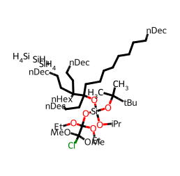 CCCCCCCCCCCCCCCCCCC(CCCCCCCCCCCC)(O[Si](OC(C)C)(OC(C)(C)C(C)(C)C)OC(OCC)(OCC)C(Cl)(OC)OC)C(CCCCCC)(CCCCCCCCCCCC)CCCCCCCCCCCC.[SiH4].[SiH4].[SiH4]